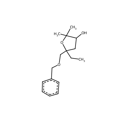 CCC1(COCc2ccccc2)CC(O)C(C)(C)O1